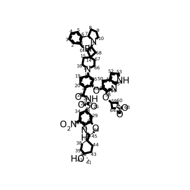 CC(C)c1ccccc1[C@H]1CCCN1C1CC2(CCN(c3ccc(C(=O)NS(=O)(=O)c4cc5c(c([N+](=O)[O-])c4)N[C@@H]([C@H]4CC[C@](C)(O)CC4)CO5)c(Oc4cc5cc[nH]c5nc4OC4CS(=O)(=O)C4)c3)CC2)C1